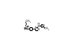 CCCCS(=O)(=O)Nc1ccc(-c2ccnc(Nc3cnn(C)c3)n2)cc1